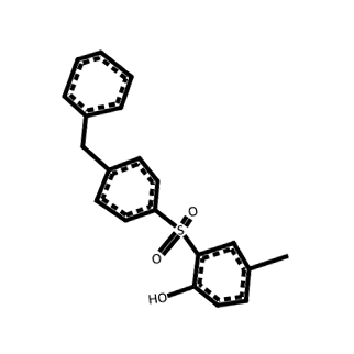 Cc1ccc(O)c(S(=O)(=O)c2ccc(Cc3ccccc3)cc2)c1